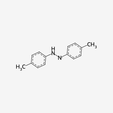 Cc1ccc([N]Nc2ccc(C)cc2)cc1